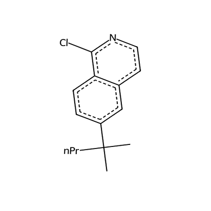 CCCC(C)(C)c1ccc2c(Cl)nccc2c1